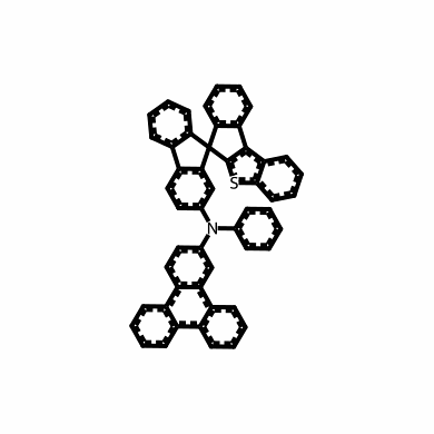 c1ccc(N(c2ccc3c(c2)C2(c4ccccc4-3)c3ccccc3-c3c2sc2ccccc32)c2ccc3c4ccccc4c4ccccc4c3c2)cc1